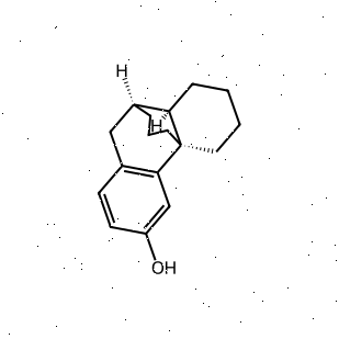 Oc1ccc2c(c1)[C@]13CCCC[C@@H]1[C@@H](CCC3)C2